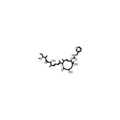 CCC(OC)C(C)C1OC1C(O)C(C)/C=C/C=C(\C)C1OC(=O)CC(O)CCC(C)(O)C(OC(=O)NCc2cccnc2)/C=C/C1C